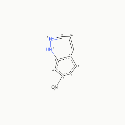 O=Nc1ccc2c(c1)NN=CC=C2